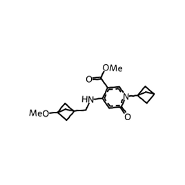 COC(=O)c1cn(C23CC(C2)C3)c(=O)cc1NCC12CC(OC)(C1)C2